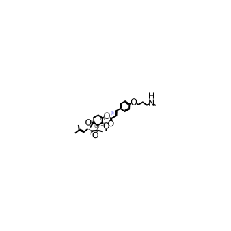 CNCCCOc1ccc(/C=C/C(=O)O[C@@H]2CC[C@]3(CO3)[C@@H](C3(C)O[C@@H]3CC=C(C)C)[C@@H]2OC)cc1